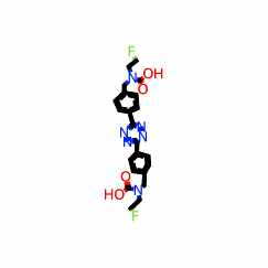 O=C(O)N(CCF)Cc1ccc(-c2nnc(-c3ccc(CN(CCF)C(=O)O)cc3)nn2)cc1